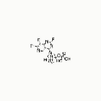 O=P(O)(O)O[C@]12CC[C@@H](CN(c3nc(F)nc4c(F)c(Cl)ncc34)C1)N2